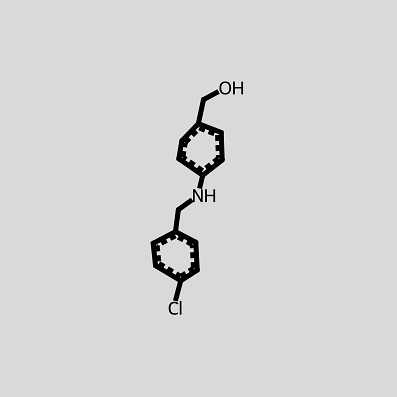 OCc1ccc(NCc2ccc(Cl)cc2)cc1